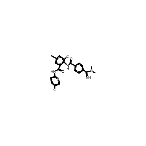 Cc1cc(Cl)c(NC(=O)c2ccc(C(=N)N(C)C)cc2)c(C(=O)Nc2ccc(Cl)cn2)c1